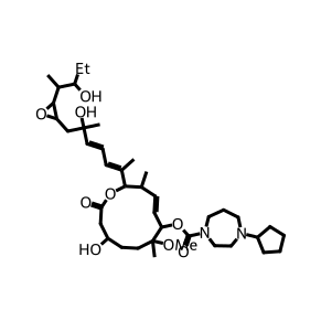 CCC(O)C(C)C1OC1CC(C)(O)/C=C/C=C(\C)C1OC(=O)CC(O)CCC(C)(OC)C(OC(=O)N2CCCN(C3CCCC3)CC2)/C=C/C1C